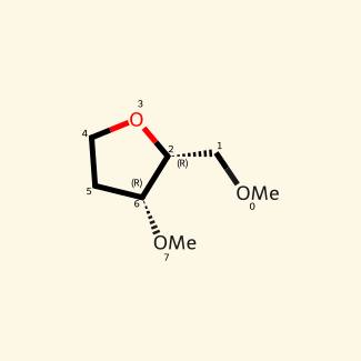 COC[C@H]1OCC[C@H]1OC